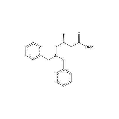 COC(=O)C[C@H](C)CN(Cc1ccccc1)Cc1ccccc1